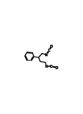 O=C=NCCC(CN=C=O)c1ccccc1